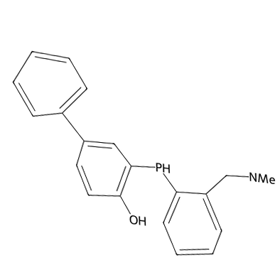 CNCc1ccccc1Pc1cc(-c2ccccc2)ccc1O